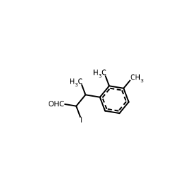 Cc1cccc(C(C)C(I)C=O)c1C